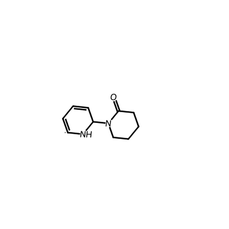 O=C1CCCCN1C1C=CC=[C]N1